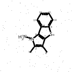 Cc1c(C)n(N)c2c1sc1ccccc12